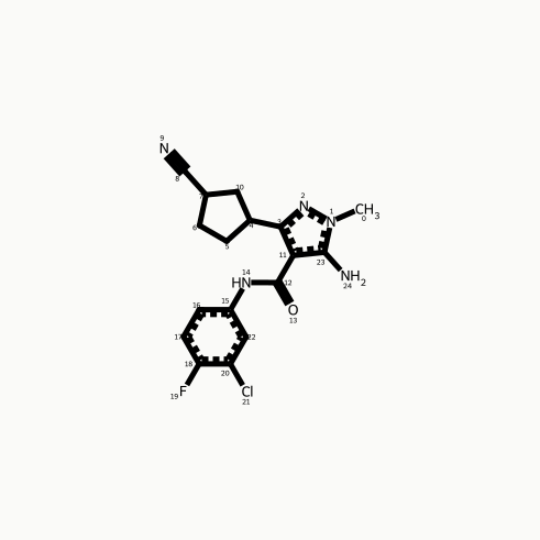 Cn1nc(C2CCC(C#N)C2)c(C(=O)Nc2ccc(F)c(Cl)c2)c1N